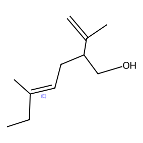 C=C(C)C(CO)C/C=C(\C)CC